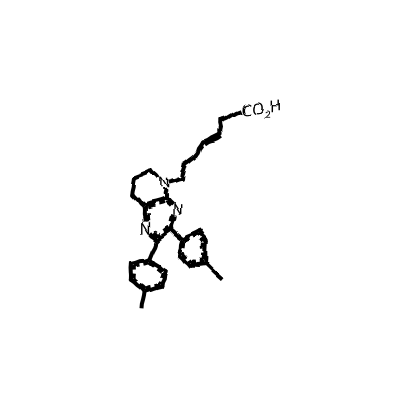 Cc1ccc(-c2nc3c(nc2-c2ccc(C)cc2)N(CCCC=CCC(=O)O)CCC3)cc1